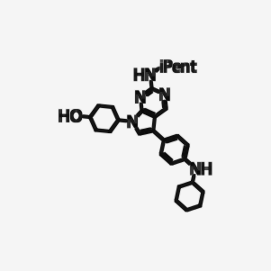 CCC[C@H](C)Nc1ncc2c(-c3ccc(NC4CCCCC4)cc3)cn(C3CCC(O)CC3)c2n1